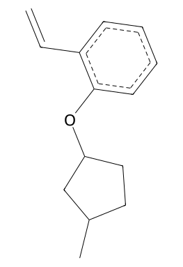 C=Cc1ccccc1OC1CCC(C)C1